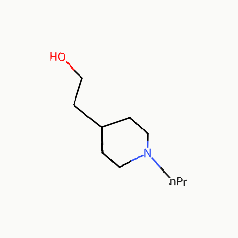 CCCN1CCC(CCO)CC1